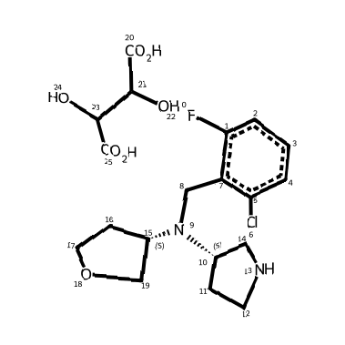 Fc1cccc(Cl)c1CN([C@H]1CCNC1)[C@H]1CCOC1.O=C(O)C(O)C(O)C(=O)O